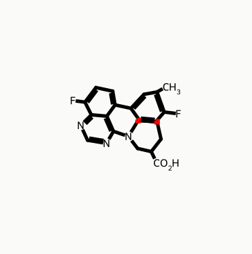 Cc1cc(-c2ccc(F)c3ncnc(N4CCCC(C(=O)O)C4)c23)ccc1F